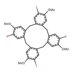 COc1cc2c(cc1I)Cc1cc(OC)c(I)cc1Cc1cc(OC)c(I)cc1Cc1cc(OC)c(I)cc1C2